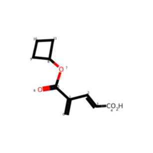 C=C(C=CC(=O)O)C(=O)OC1CCC1